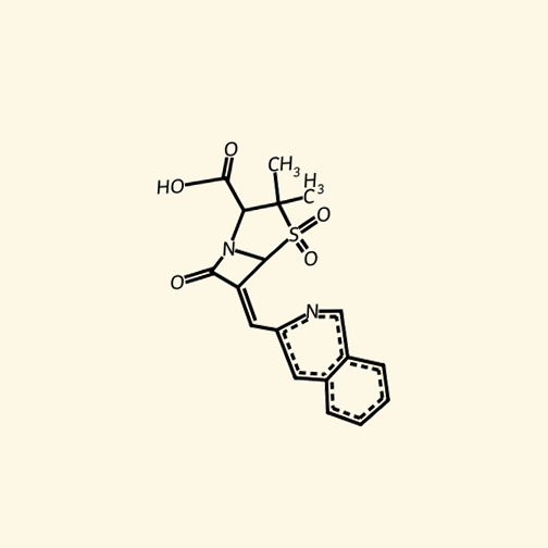 CC1(C)C(C(=O)O)N2C(=O)/C(=C/c3cc4ccccc4cn3)C2S1(=O)=O